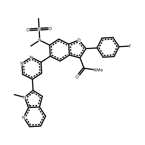 CNC(=O)c1c(-c2ccc(F)cc2)oc2cc(N(C)S(C)(=O)=O)c(-c3cc(-c4cc5cccnc5n4C)cnn3)cc12